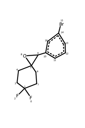 FC1(F)CCC2(CC1)OC2c1cccc(Br)c1